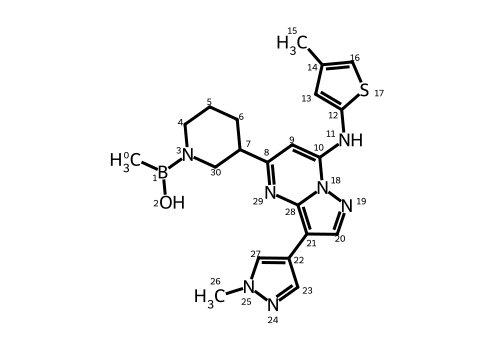 CB(O)N1CCCC(c2cc(Nc3cc(C)cs3)n3ncc(-c4cnn(C)c4)c3n2)C1